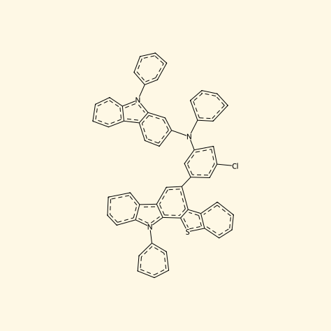 Clc1cc(-c2cc3c4ccccc4n(-c4ccccc4)c3c3sc4ccccc4c23)cc(N(c2ccccc2)c2ccc3c4ccccc4n(-c4ccccc4)c3c2)c1